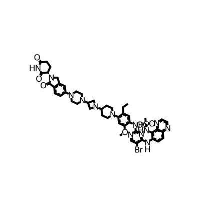 CCc1cc(Nc2ncc(Br)c(Nc3ccc4nccnc4c3NS(C)(=O)=O)n2)c(OC)cc1N1CCC(N2CC(N3CCN(c4ccc5c(c4)CN([C@H]4CCC(=O)NC4=O)C5=O)CC3)C2)CC1